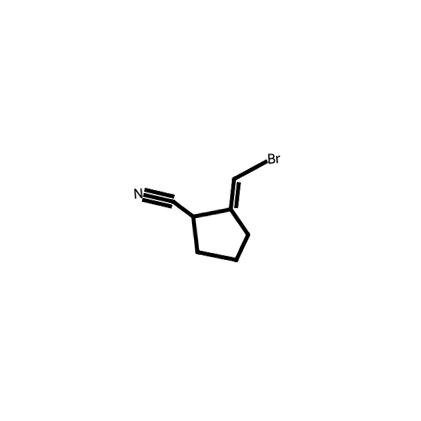 N#CC1CCCC1=CBr